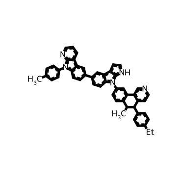 CCc1ccc(C2c3ccncc3-c3cc(-n4c5ccc(-c6ccc7c(c6)c6cccnc6n7-c6ccc(C)cc6)cc5c5cc[nH]c54)ccc3C2C)cc1